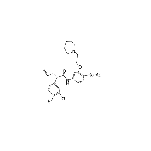 C=CCC(C(=O)Nc1ccc(NC(C)=O)c(OCCN2CCCCC2)c1)c1ccc(CC)c(Cl)c1